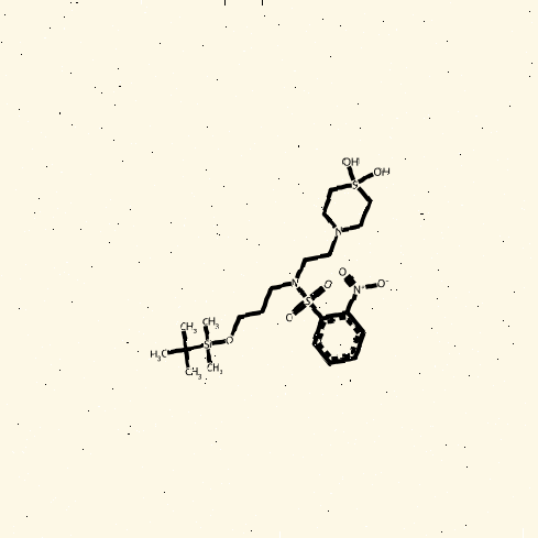 CC(C)(C)[Si](C)(C)OCCCN(CCN1CCS(O)(O)CC1)S(=O)(=O)c1ccccc1[N+](=O)[O-]